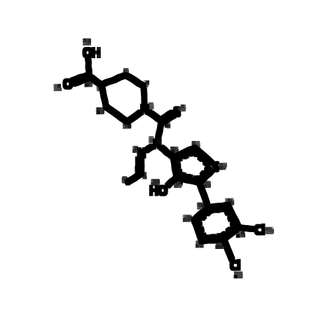 CC=NN(C(=S)N1CCC(C(=O)O)CC1)c1csc(-c2ccc(Cl)c(Cl)c2)c1O